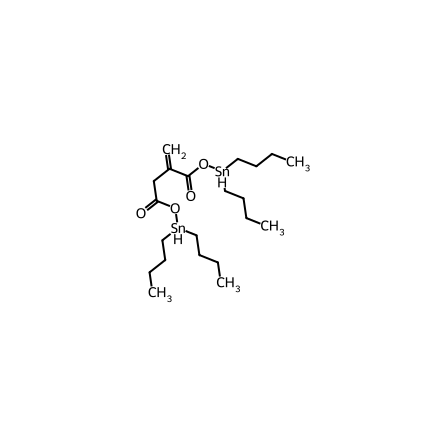 C=C(CC(=O)[O][SnH]([CH2]CCC)[CH2]CCC)C(=O)[O][SnH]([CH2]CCC)[CH2]CCC